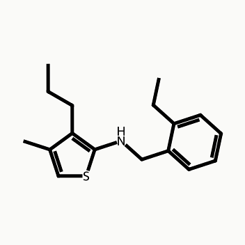 CCCc1c(C)csc1NCc1ccccc1CC